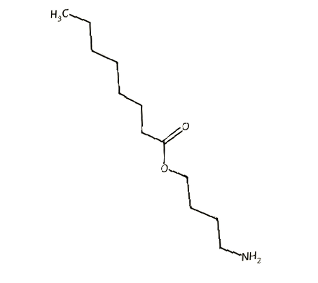 CCCCCCCC(=O)OCCCCN